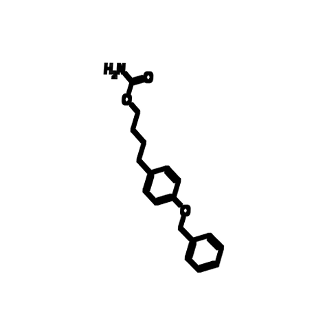 NC(=O)OCCCCc1ccc(OCc2ccccc2)cc1